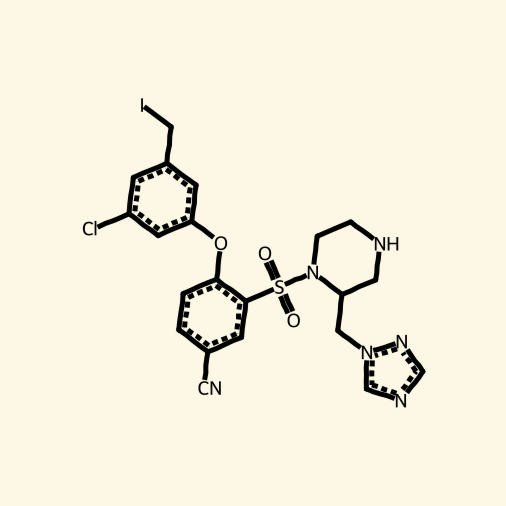 N#Cc1ccc(Oc2cc(Cl)cc(CI)c2)c(S(=O)(=O)N2CCNCC2Cn2cncn2)c1